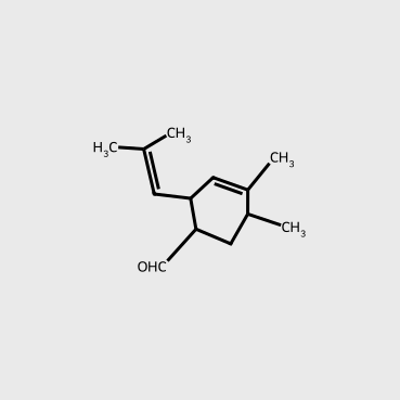 CC(C)=CC1C=C(C)C(C)CC1C=O